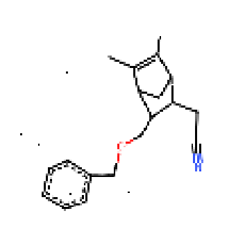 CC1=C(C)C2CC1C(CC#N)C2COCc1ccccc1